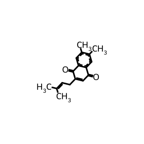 CC(C)=CCC1=CC(=O)c2cc(C)c(C)cc2C1=O